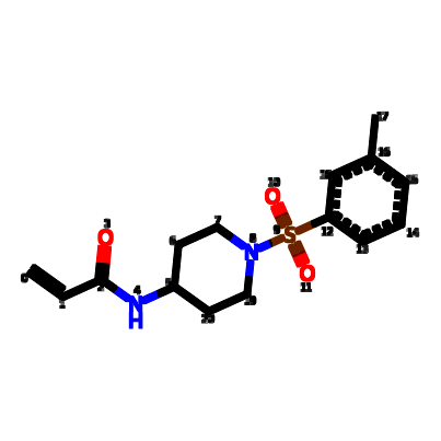 C=CC(=O)NC1CCN(S(=O)(=O)c2cccc(C)c2)CC1